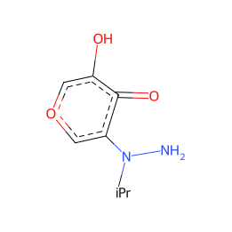 CC(C)N(N)c1cocc(O)c1=O